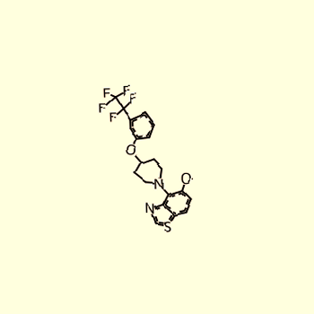 [O]c1ccc2scnc2c1N1CCC(Oc2cccc(C(F)(F)C(F)(F)F)c2)CC1